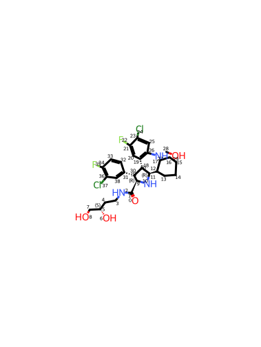 O=C(NCC[C@H](O)CO)[C@@H]1N[C@H](C2CCCCC2)[C@@H](c2cc(F)c(Cl)cc2NCO)[C@H]1c1ccc(F)c(Cl)c1